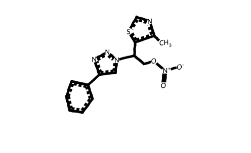 Cc1ncsc1C(CO[N+](=O)[O-])n1cc(-c2ccccc2)nn1